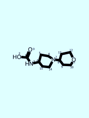 O=C(O)NC1CCN(C2CCOCC2)CC1